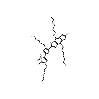 CCCCCCOc1c2cc(-c3sc(C4=CC(CCCCCC)=C(C)S4(=O)=O)cc3CCCCCC)sc2c(OCCCCCC)c2cc(C)sc12